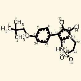 CC(C)(C)COc1ccc(-c2c(Cl)c(Cl)n3c2NS(=O)(=O)CC3)cc1